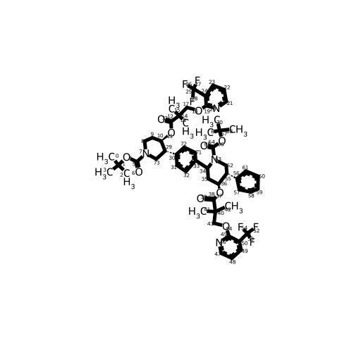 CC(C)(C)OC(=O)N1CC[C@@H](OC(=O)C(C)(C)COc2ncccc2C(F)(F)F)[C@H](c2ccc(C3C[C@H](OC(=O)C(C)(C)COc4ncccc4C(F)(F)F)[C@@H](c4ccccc4)CN3C(=O)OC(C)(C)C)cc2)C1